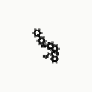 CCC(c1ccccc1)n1c(=O)ccc2cnc(Nc3ccc(N4CCCCC4)cc3)nc21